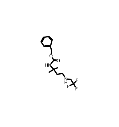 CC(C)(CCNCC(F)(F)F)NC(=O)OCc1ccccc1